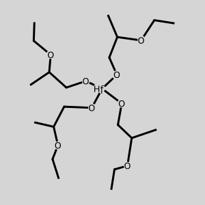 CCOC(C)C[O][Hf]([O]CC(C)OCC)([O]CC(C)OCC)[O]CC(C)OCC